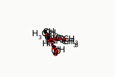 CCc1cc(OCOCC[Si](C)(C)C)c(F)cc1-c1cc2c(c(I)nn2COCC[Si](C)(C)C)c(NCCc2ccc(NS(=O)(=O)c3ccccc3)cc2)n1